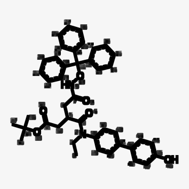 CCN(C(=O)C(CC(=O)NOC(c1ccccc1)(c1ccccc1)c1ccccc1)CC(=O)OC(C)(C)C)c1ccc(-c2ccc(O)cc2)cc1